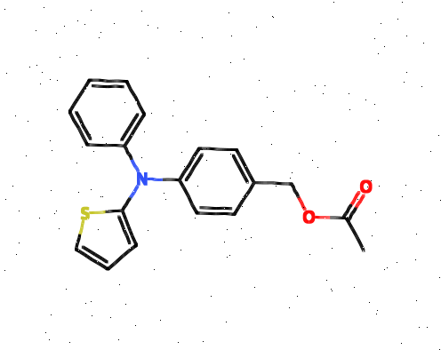 CC(=O)OCc1ccc(N(c2ccccc2)c2cccs2)cc1